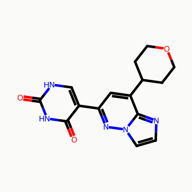 O=c1[nH]cc(-c2cc(C3CCOCC3)c3nccn3n2)c(=O)[nH]1